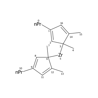 CCCC1=C[C](C)([Zr][C]2(C)C=C(CCC)C=C2C)C(C)=C1